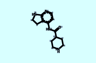 O=C(Nc1ccnc2c1CCN2)C1CCNCC1